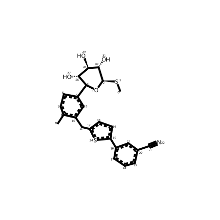 CS[C@H]1OC(c2ccc(C)c(Cc3ccc(-c4cccc(C#N)c4)s3)c2)[C@H](O)[C@@H](O)[C@@H]1O